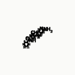 Cn1nc(NC(=O)c2ccccc2)cc1-c1ccc2cc(N)ncc2c1